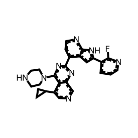 Fc1ncccc1-c1cc2c(-c3nc(N4CCNCC4)c4c(C5CC5)cncc4n3)ccnc2[nH]1